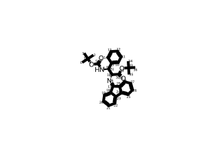 CC(C)(C)OC(=O)N[C@@H](c1ccccc1)[C@@H](N=C1c2ccccc2-c2ccccc21)C(=O)OC(C)(C)C